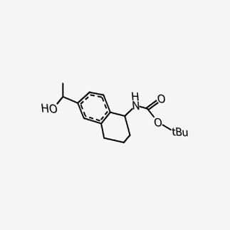 CC(O)c1ccc2c(c1)CCCC2NC(=O)OC(C)(C)C